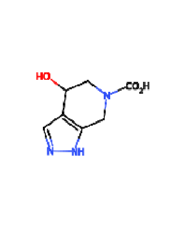 O=C(O)N1Cc2[nH]ncc2C(O)C1